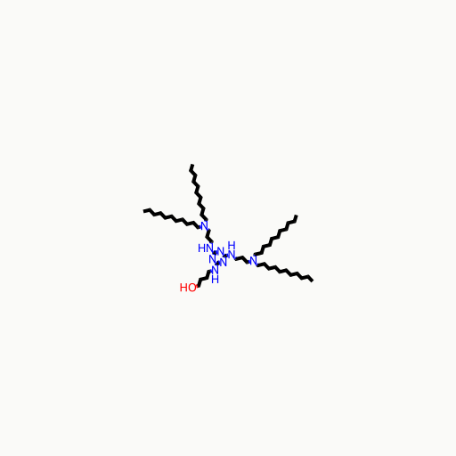 CCCCCCCCCCCN(CCCCCCCCCCC)CCCNc1nc(NCCCCO)nc(NCCCN(CCCCCCCCCCC)CCCCCCCCCCC)n1